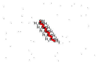 CC(C)=CCCC(C)=CCCC(C)=CCCC(C)=CCCC(C)=CCCC(C)=CCCC(C)=CCCC(C)=CCCC(C)=CCCC(C)CCO